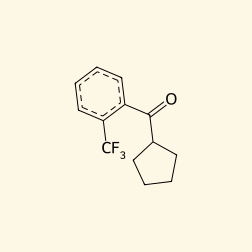 O=C(c1ccccc1C(F)(F)F)C1CCCC1